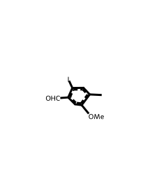 COc1cc(C=O)c(I)cc1C